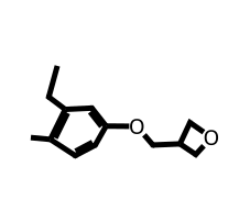 CCc1cc(OCC2COC2)ccc1C